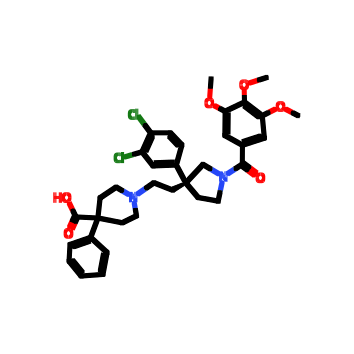 COc1cc(C(=O)N2CC[C@](CCN3CCC(C(=O)O)(c4ccccc4)CC3)(c3ccc(Cl)c(Cl)c3)C2)cc(OC)c1OC